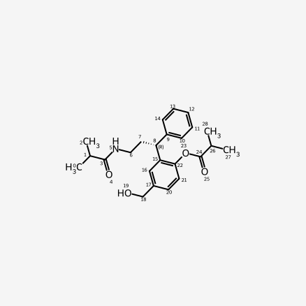 CC(C)C(=O)NCC[C@H](c1ccccc1)c1cc(CO)ccc1OC(=O)C(C)C